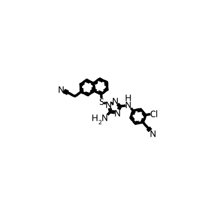 N#CCc1ccc2cccc(Sn3nc(Nc4ccc(C#N)c(Cl)c4)nc3N)c2c1